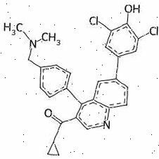 CN(C)Cc1ccc(-c2c(C(=O)C3CC3)cnc3ccc(-c4cc(Cl)c(O)c(Cl)c4)cc23)cc1